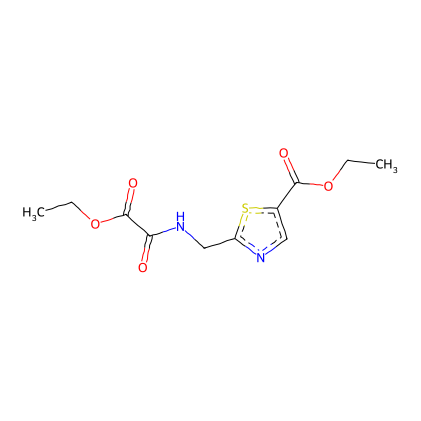 CCOC(=O)C(=O)NCc1ncc(C(=O)OCC)s1